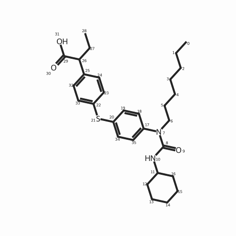 CCCCCCCN(C(=O)NC1CCCCC1)c1ccc(Sc2ccc(C(CC)C(=O)O)cc2)cc1